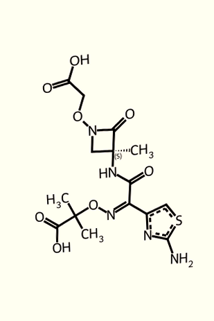 CC(C)(ON=C(C(=O)N[C@@]1(C)CN(OCC(=O)O)C1=O)c1csc(N)n1)C(=O)O